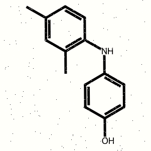 Cc1ccc(Nc2ccc(O)cc2)c(C)c1